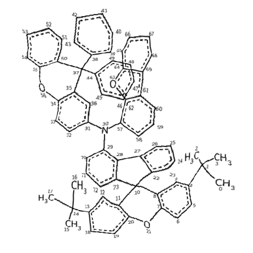 CC(C)(C)c1ccc2c(c1)C1(c3cc(C(C)(C)C)ccc3O2)c2ccccc2-c2c(N(c3ccc4c(c3)C(c3ccccc3)(c3ccccc3)c3ccccc3O4)c3cccc4c3oc3ccccc34)cccc21